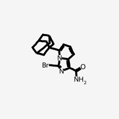 NC(=O)c1nc(Br)n2c(C34CC5CC(CC(C5)C3)C4)cccc12